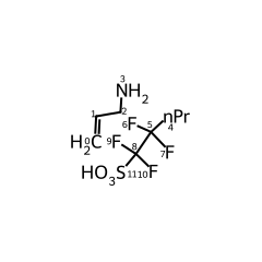 C=CCN.CCCC(F)(F)C(F)(F)S(=O)(=O)O